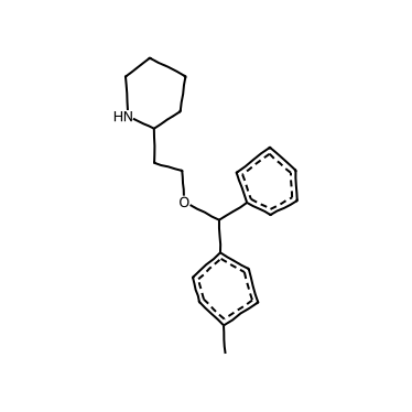 Cc1ccc(C(OCCC2CCCCN2)c2ccccc2)cc1